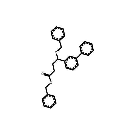 O=C(CCC(OCc1ccccc1)c1cccc(-c2ccccc2)c1)OCc1ccccc1